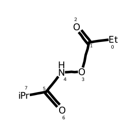 CCC(=O)ONC(=O)C(C)C